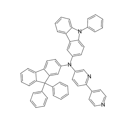 c1ccc(-n2c3ccccc3c3cc(N(c4ccc(-c5ccncc5)nc4)c4ccc5c(c4)C(c4ccccc4)(c4ccccc4)c4ccccc4-5)ccc32)cc1